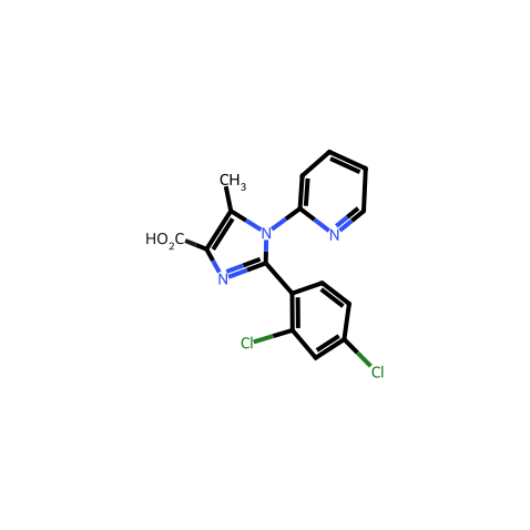 Cc1c(C(=O)O)nc(-c2ccc(Cl)cc2Cl)n1-c1ccccn1